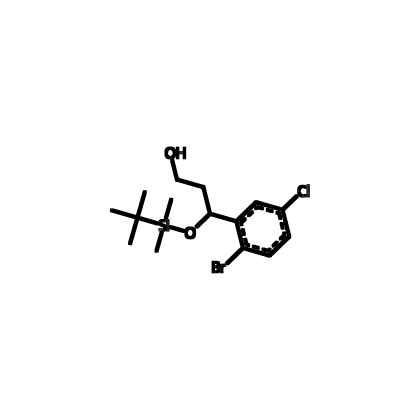 CC(C)(C)[Si](C)(C)OC(CCO)c1cc(Cl)ccc1Br